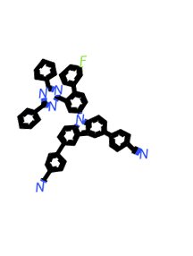 N#Cc1ccc(-c2ccc3c(c2)c2cc(-c4ccc(C#N)cc4)ccc2n3-c2ccc(-c3cccc(F)c3)c(-c3nc(-c4ccccc4)nc(-c4ccccc4)n3)c2)cc1